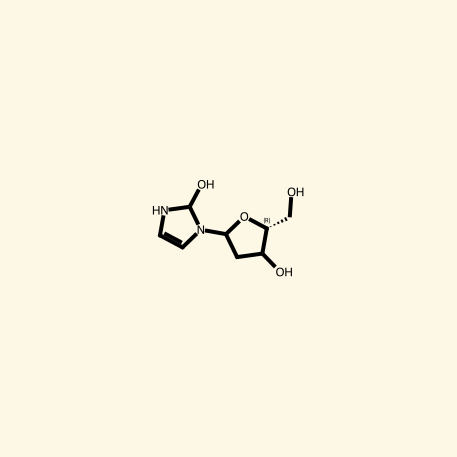 OC[C@H]1OC(N2C=CNC2O)CC1O